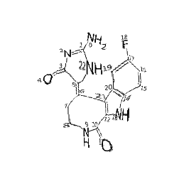 NC1=NC(=O)/C(=C2\CCNC(=O)c3[nH]c4ccc(F)cc4c32)N1